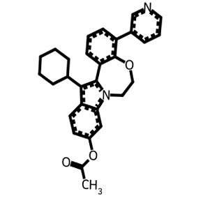 CC(=O)Oc1ccc2c(C3CCCCC3)c3n(c2c1)CCOc1c(-c2cccnc2)cccc1-3